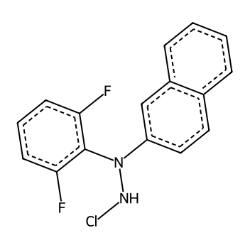 Fc1cccc(F)c1N(NCl)c1ccc2ccccc2c1